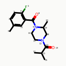 Cc1ccc(F)c(C(=O)N2CCN(C(=O)C(C)C)CC2C)c1